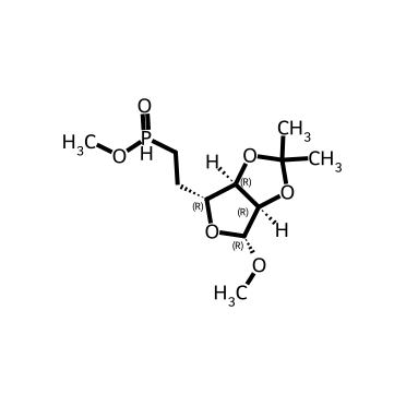 CO[C@@H]1O[C@H](CC[PH](=O)OC)[C@H]2OC(C)(C)O[C@@H]12